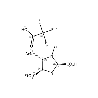 CCOC(=O)[C@@H]1C[C@H](C(=O)O)N(C)[C@H]1NC(C)=O.O=C(O)C(F)(F)F